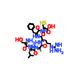 CC(C)C[C@H](NC(=O)[C@@H](N)CO)C(=O)N[C@@H](C)C(=O)N[C@@H](CCCNC(=N)N)C(=O)N[C@@H](Cc1ccccc1)C(=O)N[C@@H](CS)C(=O)O